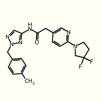 Cc1ccc(Cn2ncc(NC(=O)Cc3ccc(N4CCC(F)(F)C4)nc3)n2)cc1